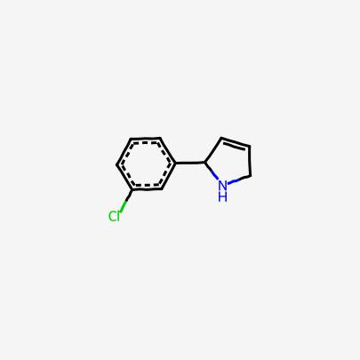 Clc1cccc(C2C=CCN2)c1